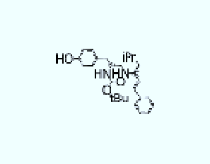 CC(C)C[C@@H](C=Cc1ccccc1)NC[C@H](Cc1ccc(O)cc1)NC(=O)OC(C)(C)C